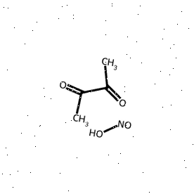 CC(=O)C(C)=O.O=NO